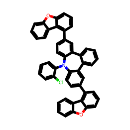 Clc1ccccc1N1c2ccc(-c3cccc4oc5ccccc5c34)cc2-c2ccccc2-c2cc(-c3cccc4oc5ccccc5c34)ccc21